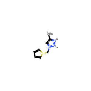 CCCCc1cn(C[SH]2C=CC=C2)nn1